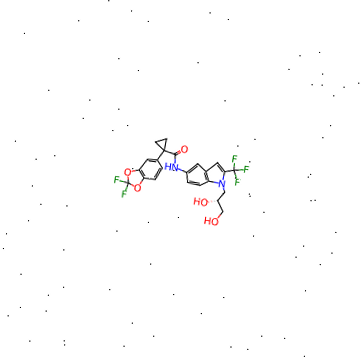 O=C(Nc1ccc2c(c1)cc(C(F)(F)F)n2C[C@@H](O)CO)C1(c2ccc3c(c2)OC(F)(F)O3)CC1